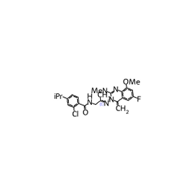 C=C1c2cc(F)cc(OC)c2N=C(NC)N1/N=C(\C)CNC(=O)c1ccc(C(C)C)cc1Cl